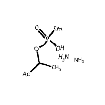 CC(=O)C(C)OP(=O)(O)O.N.N